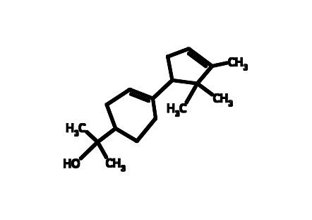 CC1=CCC(C2=CCC(C(C)(C)O)CC2)C1(C)C